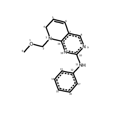 COCN1CC=Cc2cnc(Nc3ccccc3)nc21